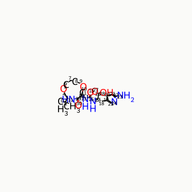 CC(C)C1COCCCCOC[C@@H](NC(=O)N[C@@H](Cc2ccc(N)nc2)C(=O)O)C(=O)N1